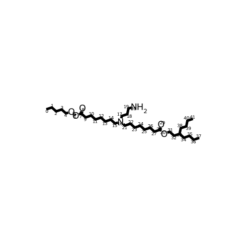 CCCCCOOC(=O)CCCCCCCN(CCCN)CCCCCCCC(=O)OCCC(CCCC)CCCC